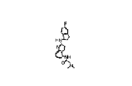 CN(C)CC(=O)Nc1cccc2nc(NC3CCc4cc(F)ccc43)ccc12